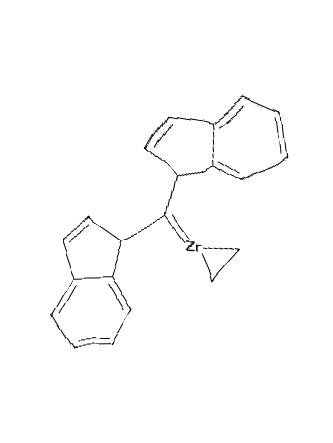 C1=CC([C](C2C=Cc3ccccc32)=[Zr]2[CH2][CH2]2)c2ccccc21